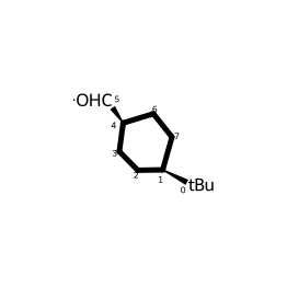 CC(C)(C)[C@H]1CC[C@@H]([C]=O)CC1